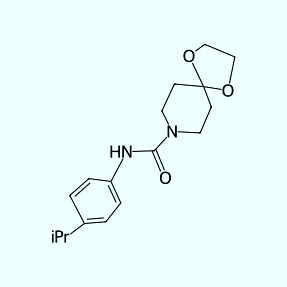 CC(C)c1ccc(NC(=O)N2CCC3(CC2)OCCO3)cc1